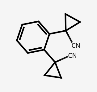 N#CC1(c2ccccc2C2(C#N)CC2)CC1